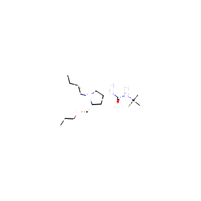 CCCOC[C@@H]1C[C@@H](NC(=O)NC(C)(C)C)CN1C[C@@H](F)CC